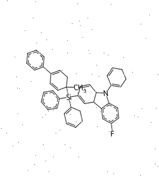 CC1([Si](C2=CC3c4cc(F)ccc4N(C4=CCCC=C4)C3C=C2)(C2=CC=CCC2)c2ccccc2)C=CC(c2ccccc2)=CC1